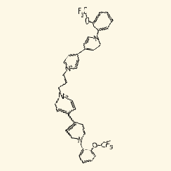 FC(F)(F)Oc1ccccc1N1C=CC(c2cc[n+](CCC[n+]3ccc(C4=CCN(c5ccccc5OC(F)(F)F)C=C4)cc3)cc2)=CC1